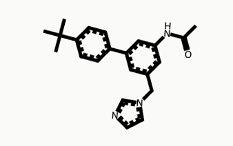 CC(=O)Nc1cc(Cn2ccnc2)cc(-c2ccc(C(C)(C)C)cc2)c1